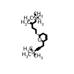 C=C(CCC[C@@H]1CC=CC(CC#C[Si](C)(C)C)O1)C[Si](C)(C)C